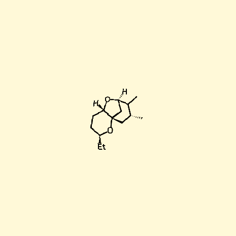 CC[C@H]1CC[C@@H]2O[C@@H]3C[C@]2(C[C@@H](C)C3C)O1